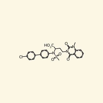 Cn1c(=O)n(CCC(C(=O)O)N(c2ccc(-c3ccc(Cl)cc3)cc2)S(C)(=O)=O)c(=O)c2ccccc21